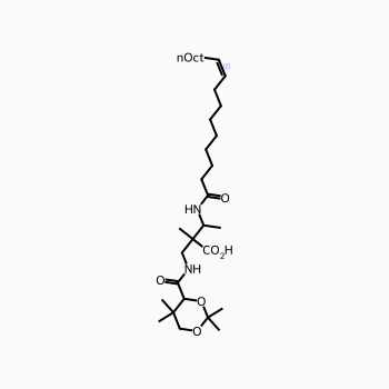 CCCCCCCC/C=C\CCCCCCCC(=O)NC(C)C(C)(CNC(=O)C1OC(C)(C)OCC1(C)C)C(=O)O